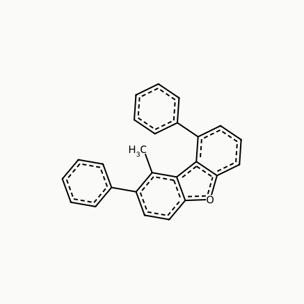 Cc1c(-c2ccccc2)ccc2oc3cccc(-c4ccccc4)c3c12